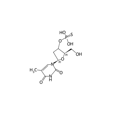 Cc1cn([C@H]2CC(OP(O)(O)=S)[C@@H](CO)O2)c(=O)[nH]c1=O